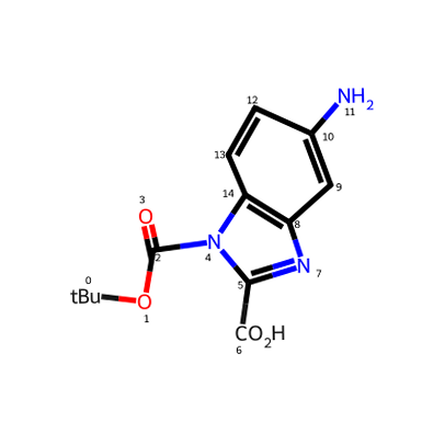 CC(C)(C)OC(=O)n1c(C(=O)O)nc2cc(N)ccc21